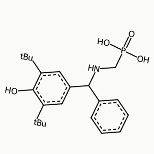 CC(C)(C)c1cc(C(NCP(=O)(O)O)c2ccccc2)cc(C(C)(C)C)c1O